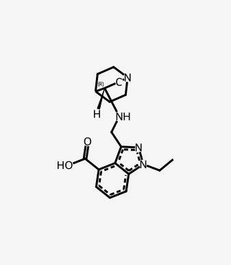 CCn1nc(CN[C@H]2CN3CCC2CC3)c2c(C(=O)O)cccc21